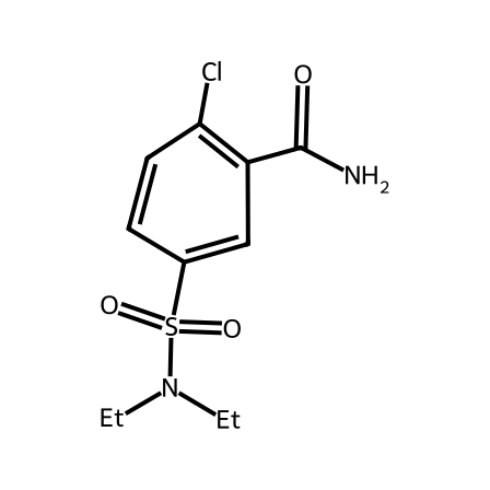 CCN(CC)S(=O)(=O)c1ccc(Cl)c(C(N)=O)c1